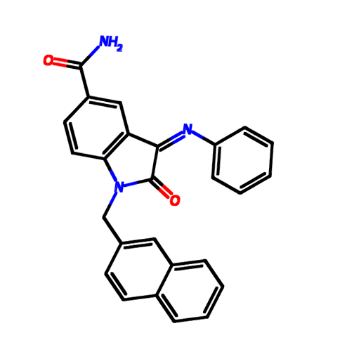 NC(=O)c1ccc2c(c1)C(=Nc1ccccc1)C(=O)N2Cc1ccc2ccccc2c1